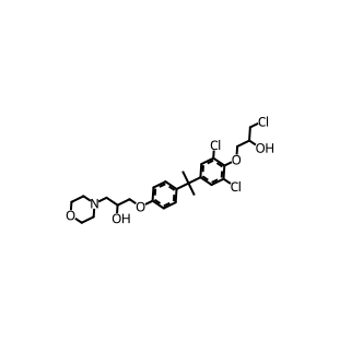 CC(C)(c1ccc(OCC(O)CN2CCOCC2)cc1)c1cc(Cl)c(OCC(O)CCl)c(Cl)c1